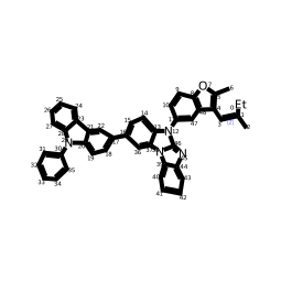 CC/C(C)=C\c1c(C)oc2ccc(-n3c4ccc(-c5ccc6c(c5)c5ccccc5n6-c5ccccc5)cc4n4c5ccccc5nc34)cc12